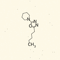 CCCCCc1nnc(N2CCCCC2)o1